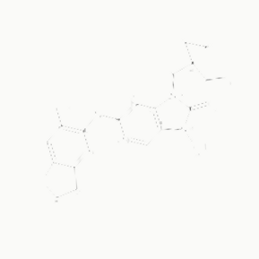 Cc1cc2c(cc1Nc1ncc3c(n1)n(CC1(CO)CC1)c(=O)n3C)CCO2